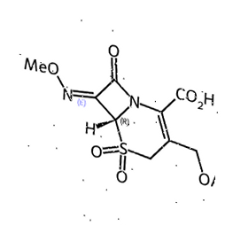 CO/N=C1\C(=O)N2C(C(=O)O)=C(COC(C)=O)CS(=O)(=O)[C@H]12